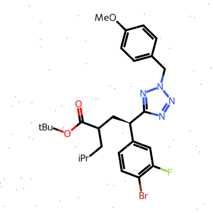 COc1ccc(Cn2nnc([C@H](CC(CC(C)C)C(=O)OC(C)(C)C)c3ccc(Br)c(F)c3)n2)cc1